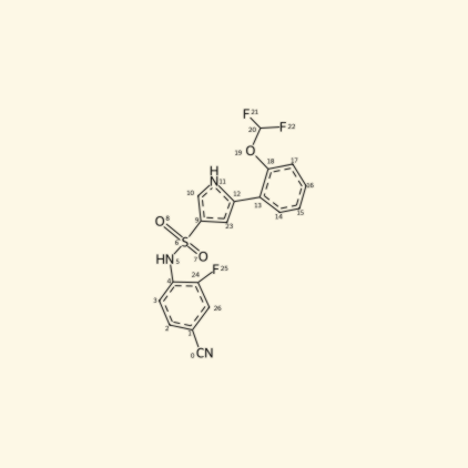 N#Cc1ccc(NS(=O)(=O)c2c[nH]c(-c3ccccc3OC(F)F)c2)c(F)c1